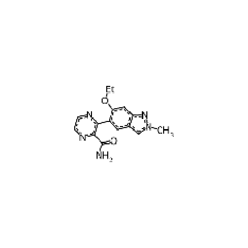 CCOc1cc2nn(C)cc2cc1-c1nccnc1C(N)=O